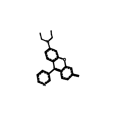 C=c1ccc2c(c1)Oc1cc(N(CC)CC)ccc1C=2c1cccnc1